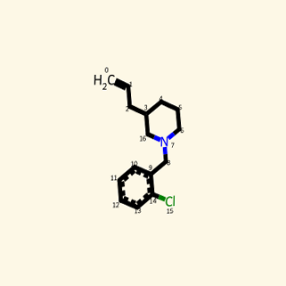 C=CCC1CCCN(Cc2ccccc2Cl)C1